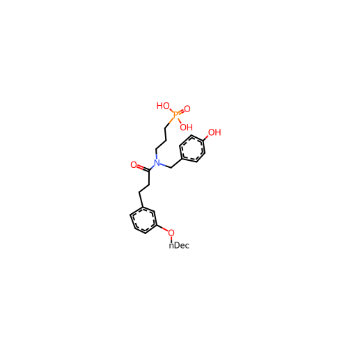 CCCCCCCCCCOc1cccc(CCC(=O)N(CCCP(=O)(O)O)Cc2ccc(O)cc2)c1